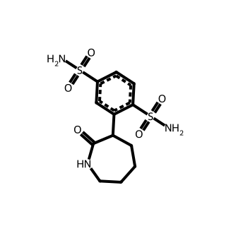 NS(=O)(=O)c1ccc(S(N)(=O)=O)c(C2CCCCNC2=O)c1